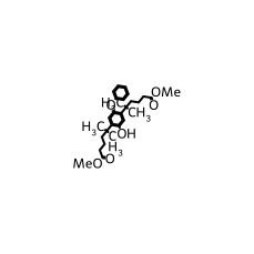 COC(=O)CCCC(C)(C)c1cc(Oc2ccccc2)c(C(C)(C)CCCC(=O)OC)cc1O